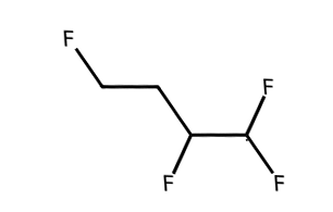 FCCC(F)[C](F)F